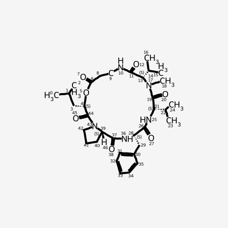 CC(C)C[C@@H]1OC(=O)CCNC(=O)[C@H](C(C)C)N(C)C(=O)[C@H](C(C)C)NC(=O)[C@H](Cc2ccccc2)NC(=O)[C@@H]2CCCN2C1=O